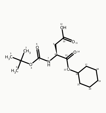 CC(C)(C)OC(=O)N[C@@H](CC(=O)O)C(=O)OC1CCCCC1